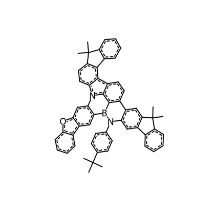 CC(C)(C)c1ccc(N2B3c4cc5c(cc4-n4c6ccc7c(c6c6ccc(c3c64)-c3cc4c(cc32)-c2ccccc2C4(C)C)-c2ccccc2C7(C)C)oc2ccccc25)cc1